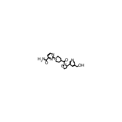 NC(=O)c1ccnc(N2CCC(C(=O)N3OCCC3c3cncc(CO)c3)CC2)n1